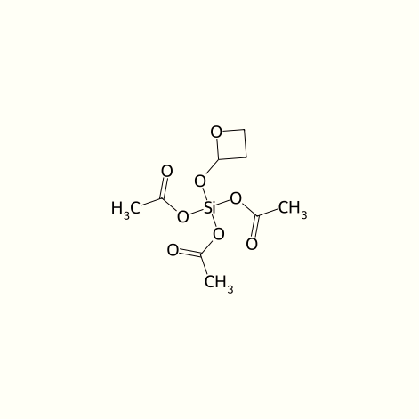 CC(=O)O[Si](OC(C)=O)(OC(C)=O)OC1CCO1